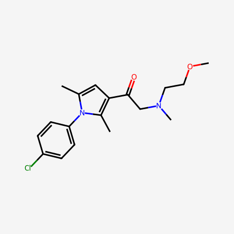 COCCN(C)CC(=O)c1cc(C)n(-c2ccc(Cl)cc2)c1C